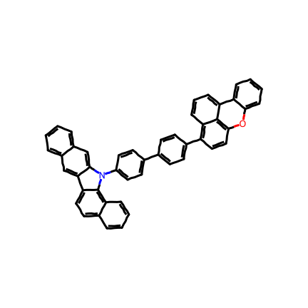 c1ccc2c(c1)Oc1ccc(-c3ccc(-c4ccc(-n5c6cc7ccccc7cc6c6ccc7ccccc7c65)cc4)cc3)c3cccc-2c13